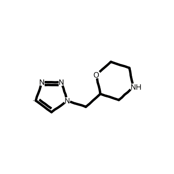 [c]1cn(CC2CNCCO2)nn1